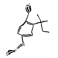 CCC(C)(F)c1cc(N=C=S)ccc1C#N